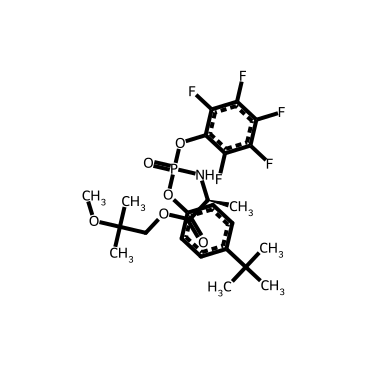 COC(C)(C)COC(=O)[C@H](C)NP(=O)(Oc1ccc(C(C)(C)C)cc1)Oc1c(F)c(F)c(F)c(F)c1F